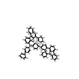 c1ccc(-c2ccc(N(c3ccc(-c4ccc(-c5cccc6c7ccccc7n(-c7ccccc7)c56)cc4)cc3)c3cccc4c3oc3c(-c5ccccc5)cc5ccccc5c34)cc2)cc1